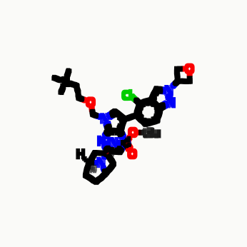 CC(C)(C)OC(=O)N[C@H]1CC2CC[C@@H](C1)N2c1cnc2c(-c3ccc4nn(C5COC5)cc4c3Cl)cn(COCC[Si](C)(C)C)c2n1